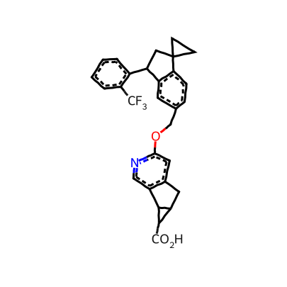 O=C(O)C1C2Cc3cc(OCc4ccc5c(c4)C(c4ccccc4C(F)(F)F)CC54CC4)ncc3C21